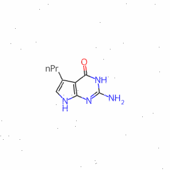 CCCc1c[nH]c2nc(N)[nH]c(=O)c12